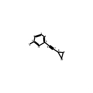 [CH2]c1cccc(C#CC2CC2)c1